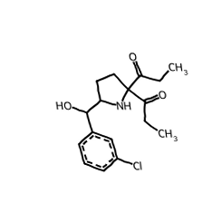 CCC(=O)C1(C(=O)CC)CCC(C(O)c2cccc(Cl)c2)N1